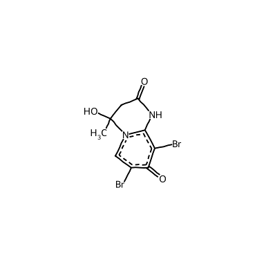 CC1(O)CC(=O)Nc2c(Br)c(=O)c(Br)cn21